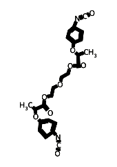 CC(Oc1ccc(N=C=O)cc1)C(=O)OCCOCCOC(=O)C(C)Oc1ccc(N=C=O)cc1